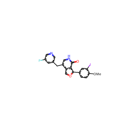 COc1ccc(-c2occ3c(Cc4cncc(F)c4)c[nH]c(=O)c23)cc1I